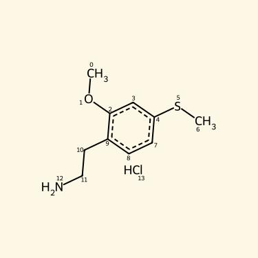 COc1cc(SC)ccc1CCN.Cl